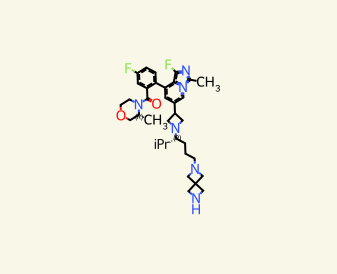 Cc1nc(F)c2c(-c3ccc(F)cc3C(=O)N3CCOC[C@H]3C)cc(C3CN([C@H](CCCN4CC5(CNC5)C4)C(C)C)C3)cn12